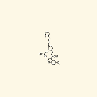 COc1ccc2nccc([C@H](O)CC[C@@H]3CCN(CCCSc4ccccc4C)C[C@H]3CCC(=O)O)c2c1